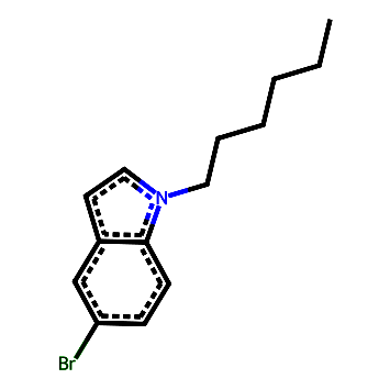 CCCCCCn1ccc2cc(Br)ccc21